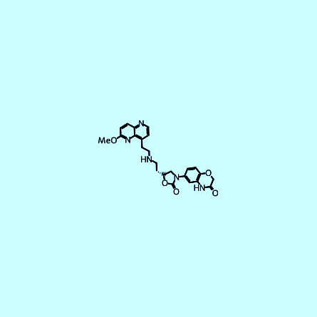 COc1ccc2nccc(CCNCC[C@@H]3CN(c4ccc5c(c4)NC(=O)CO5)C(=O)O3)c2n1